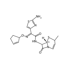 CC1C=CN2C(=O)C(NC(=O)C(=NOC3C=CCC3)c3csc(N)n3)[C@@H]2S1